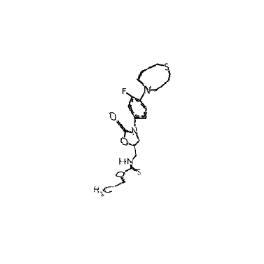 CCOC(=S)NCC1CN(c2ccc(N3CCCSCC3)c(F)c2)C(=O)O1